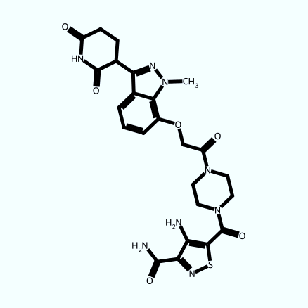 Cn1nc(C2CCC(=O)NC2=O)c2cccc(OCC(=O)N3CCN(C(=O)c4snc(C(N)=O)c4N)CC3)c21